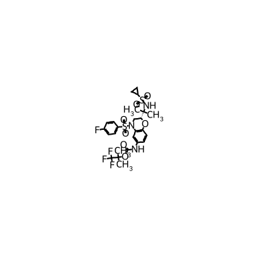 CC(C)(NS(=O)(=O)C1CC1)[C@H]1CN(S(=O)(=O)c2ccc(F)cc2)c2cc(NC(=O)OC(C)(C)C(F)(F)F)ccc2O1